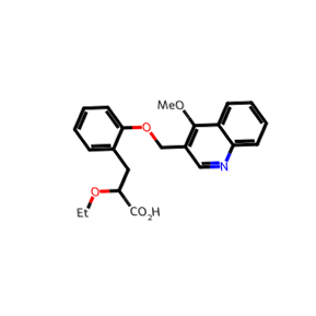 CCOC(Cc1ccccc1OCc1cnc2ccccc2c1OC)C(=O)O